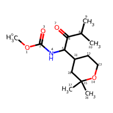 COC(=O)NC(C(=O)C(C)C)C1CCOC(C)(C)C1